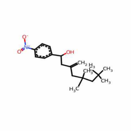 C=C(CC(O)c1ccc([N+](=O)[O-])cc1)CC(C)(C)CC(C)(C)C